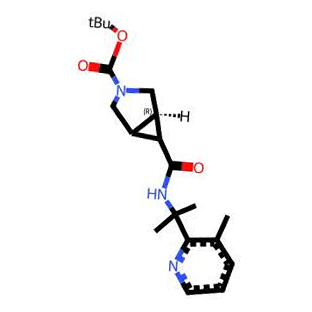 Cc1cccnc1C(C)(C)NC(=O)C1C2CN(C(=O)OC(C)(C)C)C[C@H]21